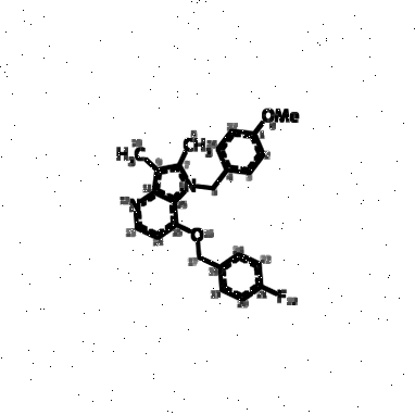 COc1ccc(Cn2c(C)c(C)c3nccc(OCc4ccc(F)cc4)c32)cc1